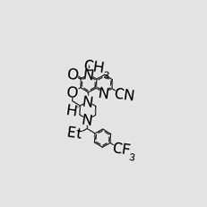 CCC(c1ccc(C(F)(F)F)cc1)N1CCN2c3c(c(=O)n(C)c4ccc(C#N)nc34)OC[C@@H]2C1